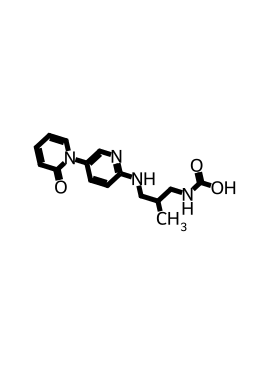 CC(CNC(=O)O)CNc1ccc(-n2ccccc2=O)cn1